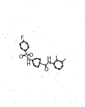 Cc1cccc(NC(=O)c2ccc(NS(=O)(=O)c3ccc(F)cc3)cc2)c1C